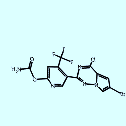 NC(=O)Oc1cc(C(F)(F)F)c(-c2nc(Cl)c3cc(Br)cn3n2)cn1